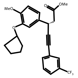 COC(=O)C[C@H](C#Cc1cccc(C(F)(F)F)c1)c1ccc(OC)c(OC2CCCC2)c1